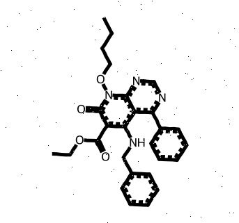 CCCCOn1c(=O)c(C(=O)OCC)c(NCc2ccccc2)c2c(-c3ccccc3)ncnc21